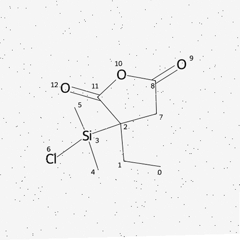 CCC1([Si](C)(C)Cl)CC(=O)OC1=O